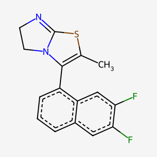 CC1=C(c2cccc3cc(F)c(F)cc23)N2CCN=C2S1